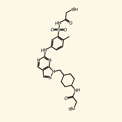 Cc1ccc(Nc2ncc3cnn(CC4CCC(NC(=O)CC(C)(C)C)CC4)c3n2)cc1S(=O)(=O)NC(=O)CC(C)(C)C